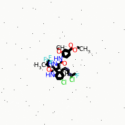 C=C(/C=C\C=C(\Cl)CF)[C@H]1[C@H](C(=O)Nc2ccc(C(=O)OCC)cc2OC)N[C@@H](C[C@@H](C)C(F)(F)F)[C@@]12C(=O)Nc1cc(Cl)ccc12